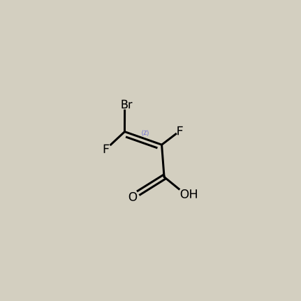 O=C(O)/C(F)=C(\F)Br